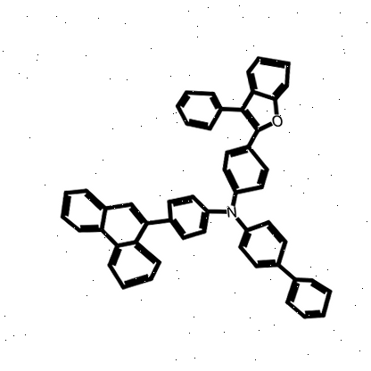 c1ccc(-c2ccc(N(c3ccc(-c4oc5ccccc5c4-c4ccccc4)cc3)c3ccc(-c4cc5ccccc5c5ccccc45)cc3)cc2)cc1